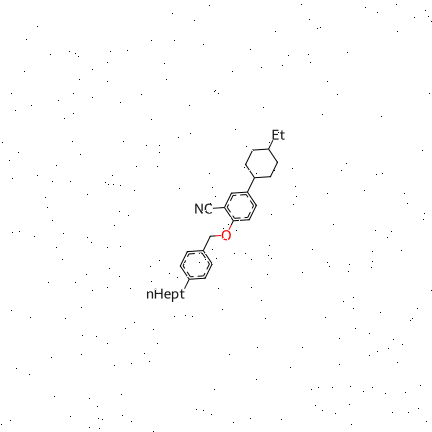 CCCCCCCc1ccc(COc2ccc(C3CCC(CC)CC3)cc2C#N)cc1